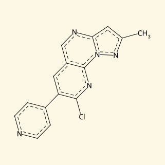 Cc1cc2ncc3cc(-c4ccncc4)c(Cl)nc3n2n1